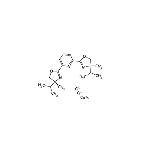 CC(C)[C@]1(C)COC(c2cccc(C3=N[C@](C)(C(C)C)CO3)n2)=N1.[Cl-].[Cl-].[Co+2]